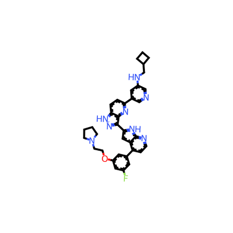 Fc1cc(OCCN2CCCC2)cc(-c2ccnc3[nH]c(-c4n[nH]c5ccc(-c6cncc(NCC7CCC7)c6)nc45)cc23)c1